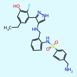 CCc1cc(O)c(F)c(-c2n[nH]cc2NCc2ccccc2NS(=O)(=O)c2ccc(CN)cc2)c1